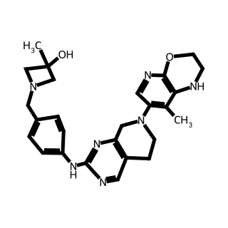 Cc1c(N2CCc3cnc(Nc4ccc(CN5CC(C)(O)C5)cc4)nc3C2)cnc2c1NCCO2